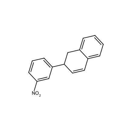 O=[N+]([O-])c1cccc(C2C=Cc3ccccc3C2)c1